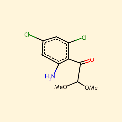 COC(OC)C(=O)c1c(N)cc(Cl)cc1Cl